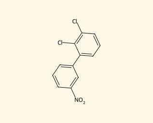 O=[N+]([O-])c1[c]ccc(-c2cccc(Cl)c2Cl)c1